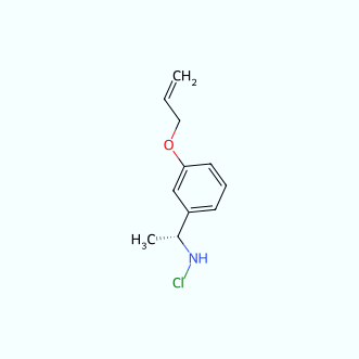 C=CCOc1cccc([C@@H](C)NCl)c1